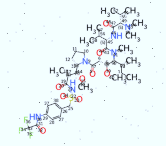 CC[C@@H](C)[C@@H]([C@@H](CC(=O)N1CCC[C@H]1[C@H](OC)[C@@H](C)C(=O)NS(=O)(=O)Cc1ccc(NC(=O)C(F)(F)F)cc1)OC)N(C)C(=O)[C@@H](NC(=O)[C@H](C(C)C)N(C)C)C(C)C